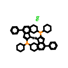 C1=C(P(C2CCCCC2)C2CCCCC2)[CH]([Zr+2][CH]2C(P(C3CCCCC3)C3CCCCC3)=Cc3c(-c4ccccc4)cccc32)c2cccc(-c3ccccc3)c21.[Cl-].[Cl-]